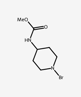 COC(=O)NC1CCN(Br)CC1